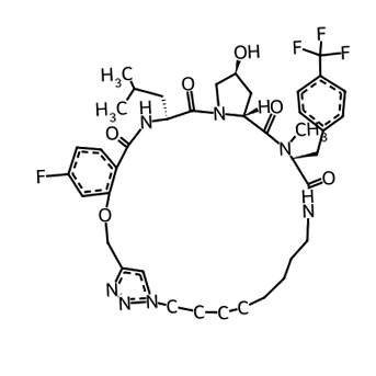 CC(C)C[C@H]1NC(=O)c2ccc(F)cc2OCc2cn(nn2)CCCCCCCCNC(=O)[C@H](Cc2ccc(C(F)(F)F)cc2)N(C)C(=O)[C@H]2C[C@H](O)CN2C1=O